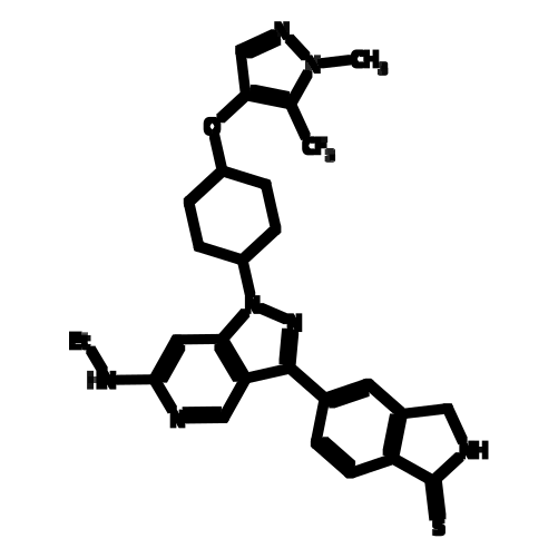 CCNc1cc2c(cn1)c(-c1ccc3c(c1)CNC3=S)nn2C1CCC(Oc2cnn(C)c2C(F)(F)F)CC1